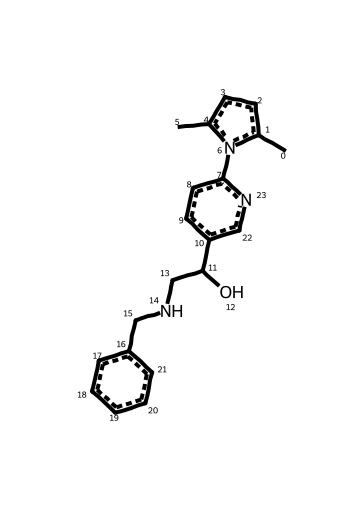 Cc1ccc(C)n1-c1ccc(C(O)CNCc2ccccc2)cn1